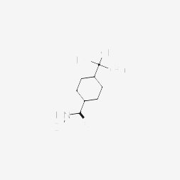 CCNC(=O)C1CCC(C(C)(C)C(C)(C)C)CC1